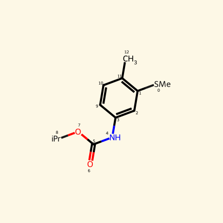 CSc1cc(NC(=O)OC(C)C)ccc1C